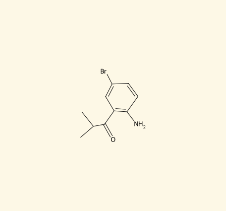 CC(C)C(=O)c1cc(Br)ccc1N